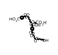 CC(O)C(=O)O.O=C(CCC(=O)OC(=O)c1ccc(C(=O)OC(=O)CCCCC(=O)OC(=O)c2ccc(C(=O)O)cc2)cc1)OCCCCO